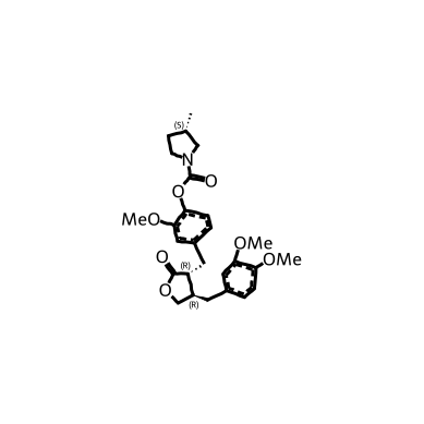 COc1ccc(C[C@H]2COC(=O)[C@@H]2Cc2ccc(OC(=O)N3CC[C@H](C)C3)c(OC)c2)cc1OC